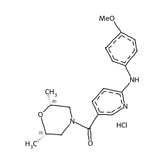 COc1ccc(Nc2ccc(C(=O)N3C[C@@H](C)O[C@@H](C)C3)cn2)cc1.Cl